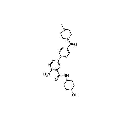 CN1CCN(C(=O)c2ccc(-c3cnc(N)c(C(=O)N[C@H]4CC[C@@H](O)CC4)c3)cc2)CC1